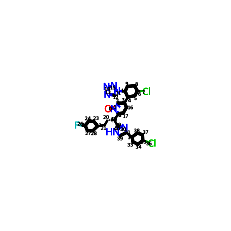 [O-][n+]1cc(-c2cc(Cl)ccc2-n2cnnn2)ccc1[C@@H](CCc1ccc(F)cc1)c1nc(-c2ccc(Cl)cc2)c[nH]1